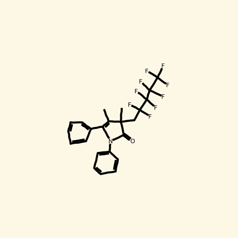 CC1=C(c2ccccc2)N(c2ccccc2)C(=O)C1(C)CC(F)(F)C(F)(F)C(F)(F)C(F)(F)F